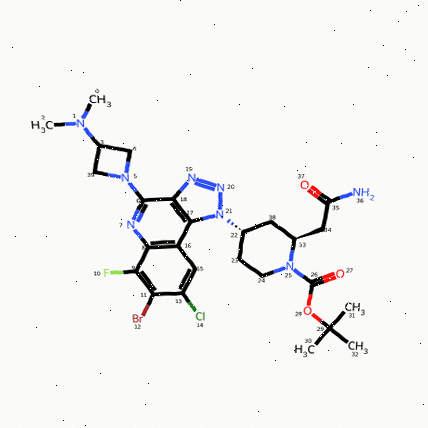 CN(C)C1CN(c2nc3c(F)c(Br)c(Cl)cc3c3c2nnn3[C@H]2CCN(C(=O)OC(C)(C)C)[C@H](CC(N)=O)C2)C1